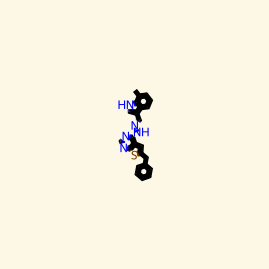 Cc1cccc2c(C=NNc3ncnc4sc(Cc5ccccc5)cc34)c[nH]c12